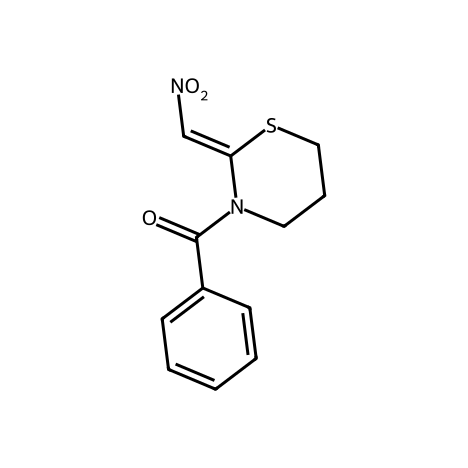 O=C(c1ccccc1)N1CCCSC1=C[N+](=O)[O-]